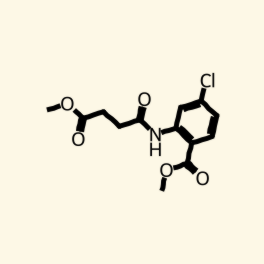 COC(=O)CCC(=O)Nc1cc(Cl)ccc1C(=O)OC